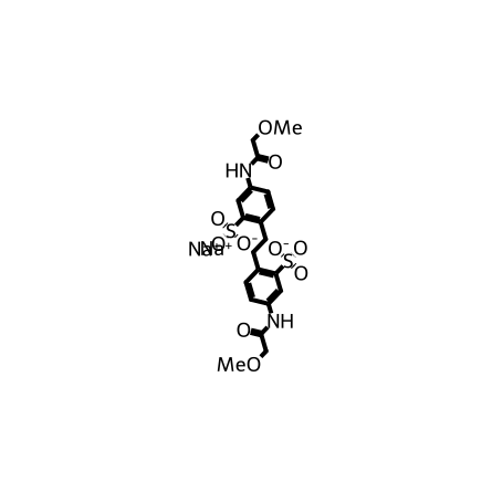 COCC(=O)Nc1ccc(CCc2ccc(NC(=O)COC)cc2S(=O)(=O)[O-])c(S(=O)(=O)[O-])c1.[Na+].[Na+]